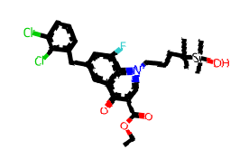 CCOC(=O)c1cn(CCCC(C)(C)[Si](C)(C)O)c2c(F)cc(Cc3cccc(Cl)c3Cl)cc2c1=O